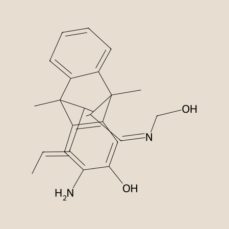 C/C=C/C1=C(/C=N\CO)C2(C)c3ccccc3C1(C)c1cc(N)c(O)cc12